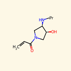 C=CC(=O)N1C[C@H](O)[C@H](NC(C)C)C1